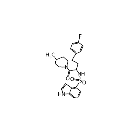 CC1CCN(C(=O)C(CCc2ccc(F)cc2)NS(=O)(=O)c2cccc3[nH]ccc23)CC1